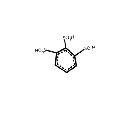 O=S(=O)(O)c1cccc(S(=O)(=O)O)c1S(=O)(=O)O